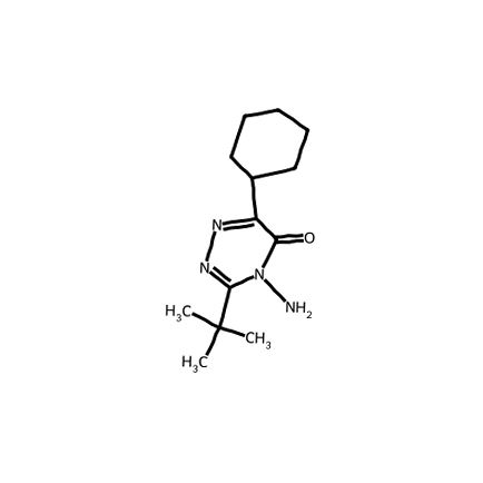 CC(C)(C)c1nnc(C2CCCCC2)c(=O)n1N